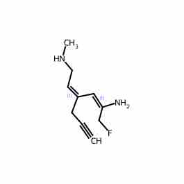 C#CCC(=C/CNC)/C=C(/N)CF